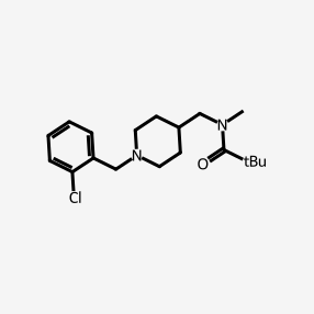 CN(CC1CCN(Cc2ccccc2Cl)CC1)C(=O)C(C)(C)C